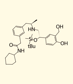 C[C@H](Cc1cccc(CC(=O)NC2CCCCC2)c1)NC[C@@H](O[Si](C)(C)C(C)(C)C)c1ccc(O)c(CO)c1